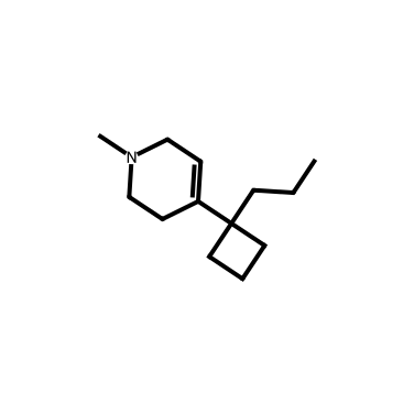 CCCC1(C2=CCN(C)CC2)CCC1